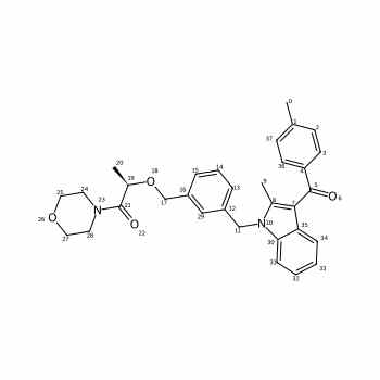 Cc1ccc(C(=O)c2c(C)n(Cc3cccc(CO[C@H](C)C(=O)N4CCOCC4)c3)c3ccccc23)cc1